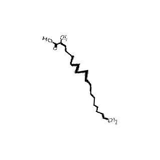 C=CCCCCCCCCCCCCCCC=C(C)C(=O)O